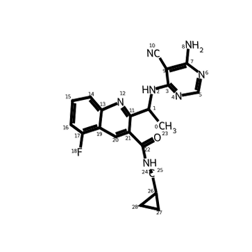 CC(Nc1ncnc(N)c1C#N)c1nc2cccc(F)c2cc1C(=O)NCC1CC1